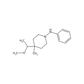 COC(C)C1(C)CCN(Nc2ccccc2)CC1